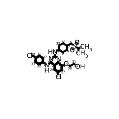 CC(C)S(=O)(=O)CC1CCC(Nc2nc(Nc3ccc(Cl)cc3)c3cc(Cl)cc(OCCO)c3n2)CC1